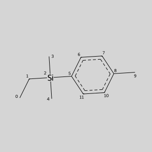 CC[Si](C)(C)c1ccc(C)cc1